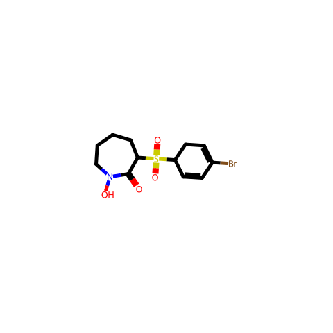 O=C1C(S(=O)(=O)C2C=CC(Br)=CC2)CCCCN1O